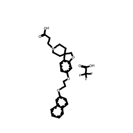 O=C(O)C(F)(F)F.O=C(O)CCN1CCC2(CC1)COc1cc(OCCOc3ccc4ccccc4c3)ccc12